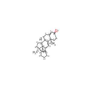 C[C@]12CCC(=O)C=C1CCC1C2=CC[C@@]2(C)[C@H]1CC[C@]2(C)C1CCCC1